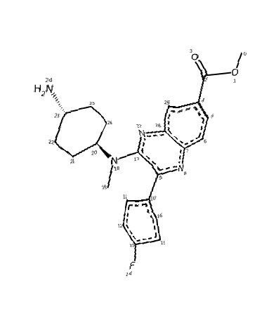 COC(=O)c1ccc2nc(-c3ccc(F)cc3)c(N(C)[C@H]3CC[C@H](N)CC3)nc2c1